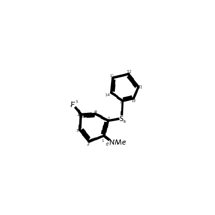 CNc1ccc(F)cc1Sc1ccccc1